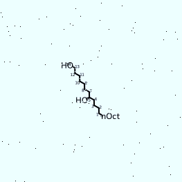 CCCCCCCCCCCCC(O)CCCCCCCO